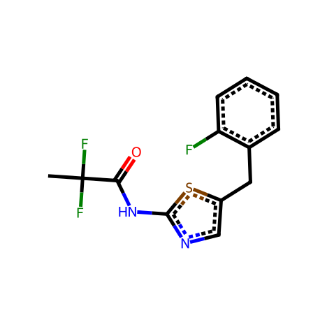 CC(F)(F)C(=O)Nc1ncc(Cc2ccccc2F)s1